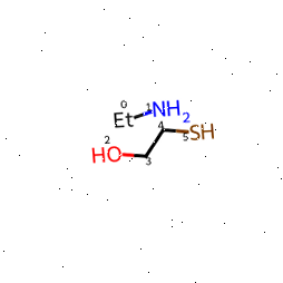 CCN.OCCS